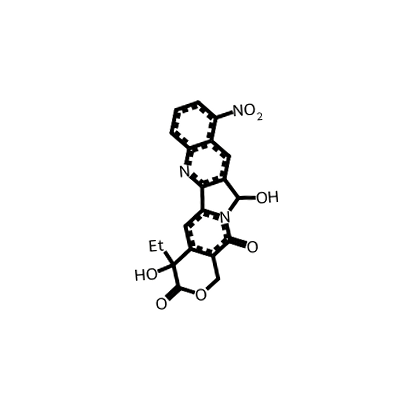 CCC1(O)C(=O)OCc2c1cc1n(c2=O)C(O)c2cc3c([N+](=O)[O-])cccc3nc2-1